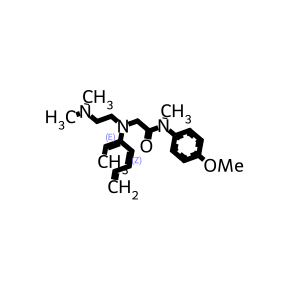 C=C/C=C\C(=C/C)N(CCN(C)C)CC(=O)N(C)c1ccc(OC)cc1